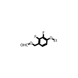 CCOc1ccc(COC=O)c(F)c1F